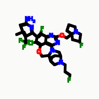 Cc1cc(N)nc(-c2c(Cl)c3c4c(nc(OCC56CCCN5CC(F)C6)nc4c2F)N2CC4CCC(CN4CCCF)C2CO3)c1C(F)(F)F